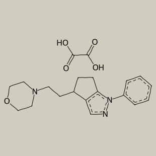 O=C(O)C(=O)O.c1ccc(-n2ncc3c2CCC3CCN2CCOCC2)cc1